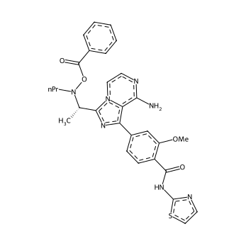 CCCN(OC(=O)c1ccccc1)[C@@H](C)c1nc(-c2ccc(C(=O)Nc3nccs3)c(OC)c2)c2c(N)nccn12